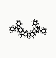 CC1(C)c2cc3oc4ccc(-c5nc(-c6ccccc6)nc(-c6ccccc6)n5)cc4c3cc2-c2cc3c4ccccc4n(-c4ccccc4)c3cc21